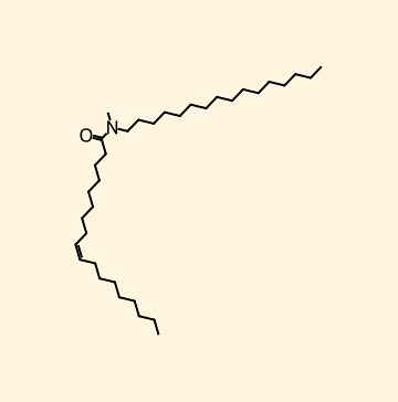 CCCCCCCC/C=C\CCCCCCCC(=O)N(C)CCCCCCCCCCCCCCCC